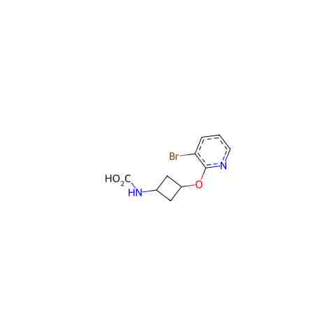 O=C(O)NC1CC(Oc2ncccc2Br)C1